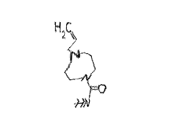 C=CCN1CCN(C([NH])=O)CC1